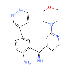 N=C(c1ccnc(N2CCOCC2)c1)c1cc(-c2ccnnc2)ccc1N